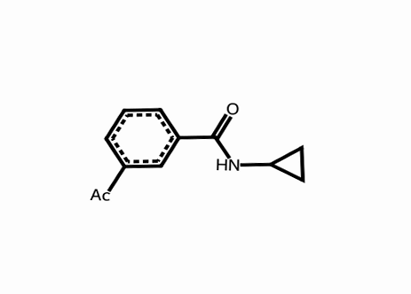 CC(=O)c1cccc(C(=O)NC2CC2)c1